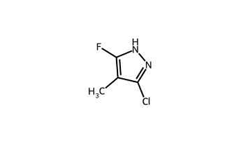 Cc1c(Cl)n[nH]c1F